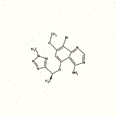 COc1cc(O[C@@H](C)c2nnn(C)n2)c2c(N)ncnc2c1Br